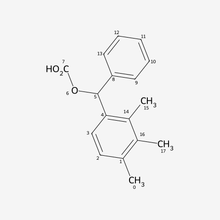 Cc1ccc(C(OC(=O)O)c2ccccc2)c(C)c1C